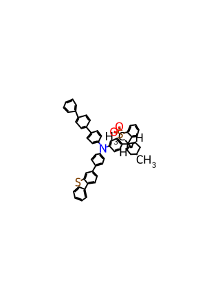 CC1C[C@H]2CC(C)C[C@H](C1)C21c2ccccc2S(=O)(=O)c2cc(N(c3ccc(-c4ccc(-c5ccccc5)cc4)cc3)c3ccc(-c4ccc5c(c4)sc4ccccc45)cc3)ccc21